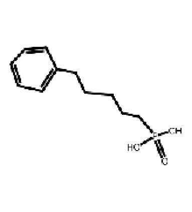 O=P(O)(O)CCCCCc1ccccc1